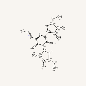 O=c1c(/C=C/Br)cn([C@@H]2O[C@H](CO)[C@@H](O)[C@H]2O)c(=O)n1C1O[C@H](CO)[C@@H](O)[C@@H]1O